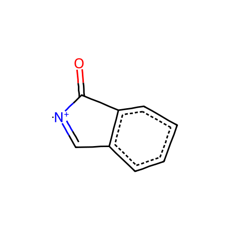 O=C1[N+]=Cc2ccccc21